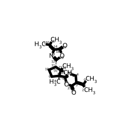 CC(C)=C1CN=C([C@@]2(C)CC[C@H](C3=NC(=C(C)C)C(=O)O3)C2(C)C)OC1=O